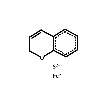 C1=Cc2ccccc2OC1.[Fe+2].[S-2]